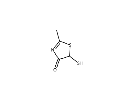 CC1=NC(=O)C(S)S1